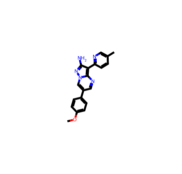 COc1ccc(-c2cnc3c(-c4ccc(C)cn4)c(N)nn3c2)cc1